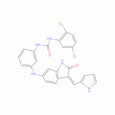 O=C(Nc1cccc(Nc2ccc3c(c2)NC(=O)C3=Cc2ccc[nH]2)c1)Nc1cc(Cl)ccc1Cl